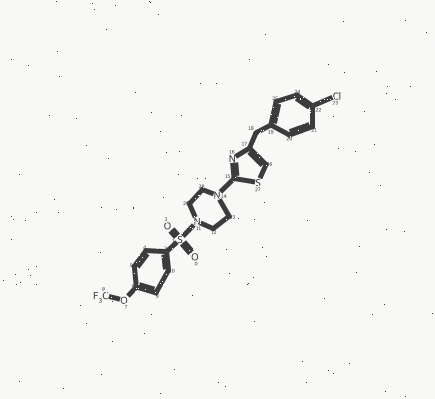 O=S(=O)(c1ccc(OC(F)(F)F)cc1)N1CCN(c2nc(Cc3ccc(Cl)cc3)cs2)CC1